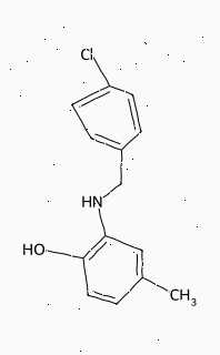 Cc1ccc(O)c(NCc2ccc(Cl)cc2)c1